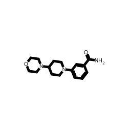 NC(=O)c1cccc(N2CCC(N3CCOCC3)CC2)c1